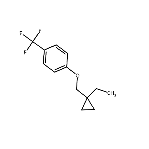 CCC1(COc2ccc(C(F)(F)F)cc2)CC1